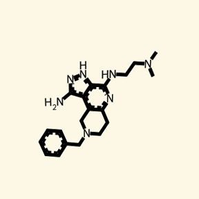 CN(C)CCNc1nc2c(c3c(N)n[nH]c13)CN(Cc1ccccc1)CC2